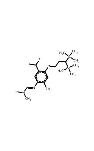 CCN(C)C=Nc1cc(C(F)F)c(OCCC([Si](C)(C)C)[Si](C)(C)C)cc1C